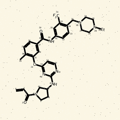 C=CC(=O)N1CCC(Nc2nccc(Oc3cc(C(=O)Nc4ccc(CN5CCN(CC)CC5)c(C(F)(F)F)c4)ccc3C)n2)C1